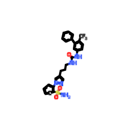 NS(=O)(=O)c1ccccc1-n1cc(CCCNC(=O)Nc2ccc(C(F)(F)F)c(-c3ccccc3)c2)cn1